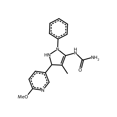 COc1ccc(C2NN(c3ccccc3)C(NC(N)=O)=C2C)cn1